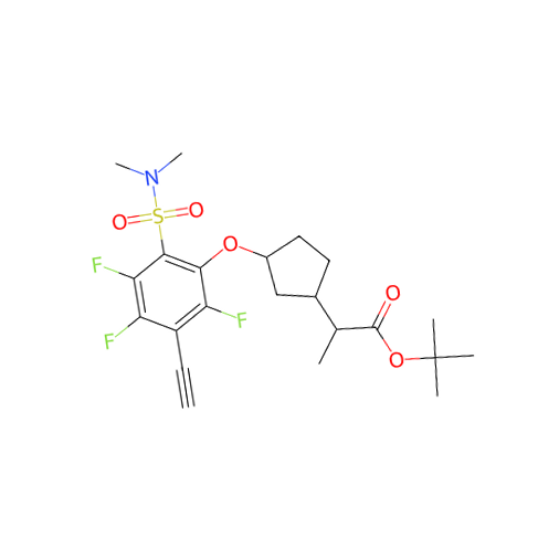 C#Cc1c(F)c(F)c(S(=O)(=O)N(C)C)c(OC2CCC(C(C)C(=O)OC(C)(C)C)C2)c1F